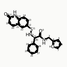 O=C(NCc1ccco1)[C@H](NSc1ccc2[nH]c(=O)ccc2c1)c1ccccc1